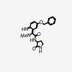 CN/C(C(=O)NC1CCNC1=O)=C1/C=C(OCc2ccccc2)C=CC1=N